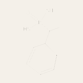 CC(c1ccccc1)P(=O)(S)S